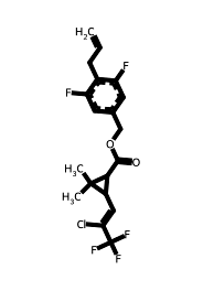 C=CCc1c(F)cc(COC(=O)C2C(C=C(Cl)C(F)(F)F)C2(C)C)cc1F